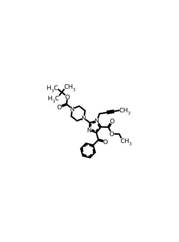 CC#CCn1c(N2CCN(C(=O)OC(C)(C)C)CC2)nc(C(=O)c2ccccc2)c1C(=O)OCC